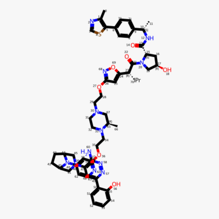 Cc1ncsc1-c1ccc([C@H](C)NC(=O)[C@@H]2C[C@@H](O)CN2C(=O)[C@@H](c2cc(OCCN3CCN(CCOc4cc(N5C6CCC5CN(c5cc(-c7ccccc7O)nnc5N)C6)ccn4)[C@H](C)C3)no2)C(C)C)cc1